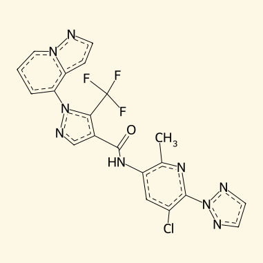 Cc1nc(-n2nccn2)c(Cl)cc1NC(=O)c1cnn(-c2cccn3nccc23)c1C(F)(F)F